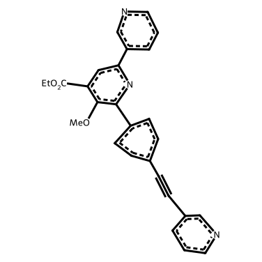 CCOC(=O)c1cc(-c2cccnc2)nc(-c2ccc(C#Cc3cccnc3)cc2)c1OC